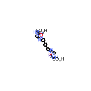 C[C@H](NC(=O)O)C(=O)N1CCC[C@H]1c1nc2cc(-c3ccc(-c4ccc5[nH]c([C@@H]6CCCN6C(=O)[C@H](C)NC(=O)O)nc5c4)cc3)ccc2[nH]1